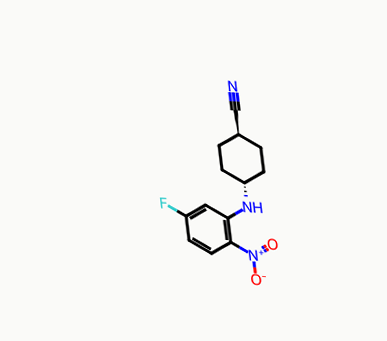 N#C[C@H]1CC[C@H](Nc2cc(F)ccc2[N+](=O)[O-])CC1